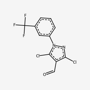 O=Cc1c(Cl)nn(-c2cccc(C(F)(F)F)c2)c1Cl